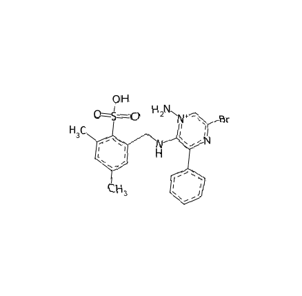 Cc1cc(C)c(S(=O)(=O)O)c(CNc2c(-c3ccccc3)nc(Br)c[n+]2N)c1